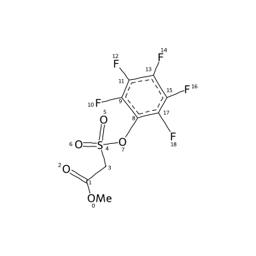 COC(=O)CS(=O)(=O)Oc1c(F)c(F)c(F)c(F)c1F